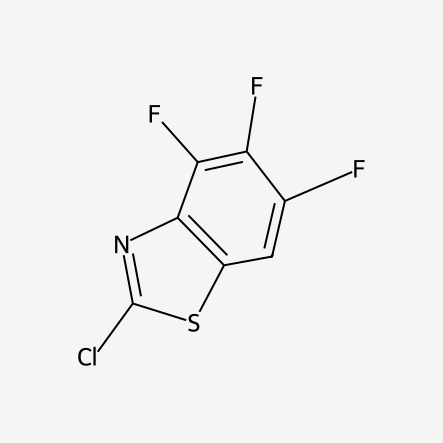 Fc1cc2sc(Cl)nc2c(F)c1F